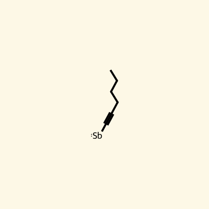 CCCCC#[C][Sb]